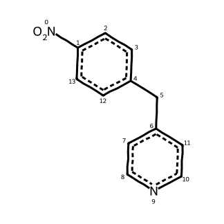 O=[N+]([O-])c1ccc(Cc2ccncc2)cc1